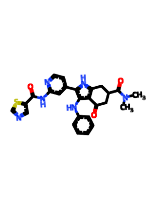 CN(C)C(=O)C1CC(=O)c2c([nH]c(-c3ccnc(NC(=O)c4cncs4)c3)c2Nc2ccccc2)C1